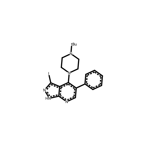 CC(C)(C)N1CCN(c2c(-c3ccccc3)cnc3[nH]nc(I)c23)CC1